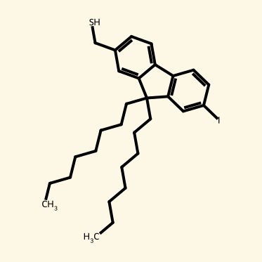 CCCCCCCCC1(CCCCCCCC)c2cc(I)ccc2-c2ccc(CS)cc21